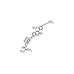 C=C(C)C(=O)OCC(F)(F)C(F)(F)C(F)(F)CSc1ccc2cc(-c3ccc(CCCCC)cc3C)c(=O)oc2c1